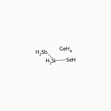 [GeH4].[SeH][SiH2][SbH2]